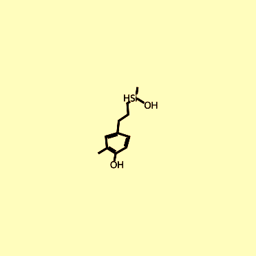 Cc1cc(CCC[SiH](C)O)ccc1O